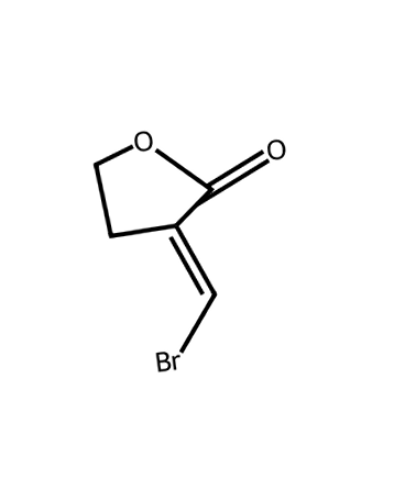 O=C1OCCC1=CBr